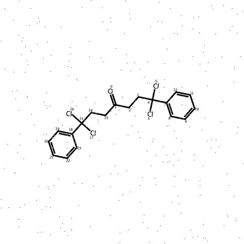 O=C(CCC(Cl)(Cl)c1ccccc1)CCC(Cl)(Cl)c1ccccc1